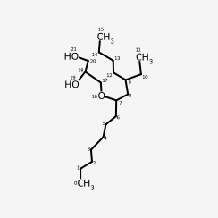 CCCCCCCC(CC(CC)CCCC)OCC(O)CO